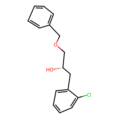 O[C@H](COCc1ccccc1)Cc1ccccc1Cl